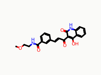 COCCNC(=O)c1cccc(C=CC(=O)c2c(O)c3ccccc3[nH]c2=O)c1